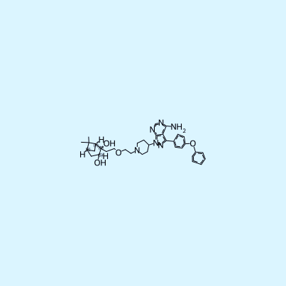 CC1(C)[C@@H]2C[C@H]1[C@](O)(CCOCCN1CCC(n3nc(-c4ccc(Oc5ccccc5)cc4)c4c(N)ncnc43)CC1)[C@@H](O)C2